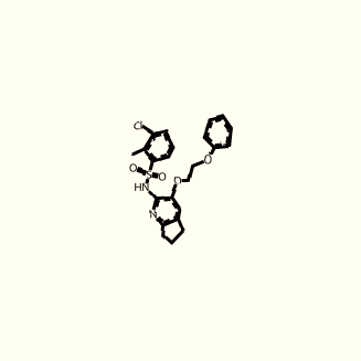 Cc1c(Cl)cccc1S(=O)(=O)Nc1nc2c(cc1OCCOc1ccccc1)CCC2